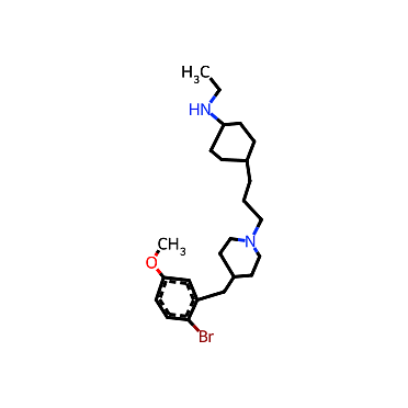 CCNC1CCC(CCCN2CCC(Cc3cc(OC)ccc3Br)CC2)CC1